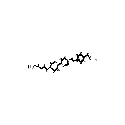 CCCCC[C@H]1CC[C@H]([C@H]2CC[C@H](CCc3ccc(CC)cc3)CC2)CC1